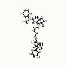 O=C(CCC/C=C\C[C@@H]1[C@@H](/C=C/C(O)C2CCCCC2)[C@H]2CC[C@@H]1O2)NS(=O)(=O)c1ccccc1